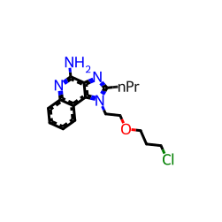 CCCc1nc2c(N)nc3ccccc3c2n1CCOCCCCl